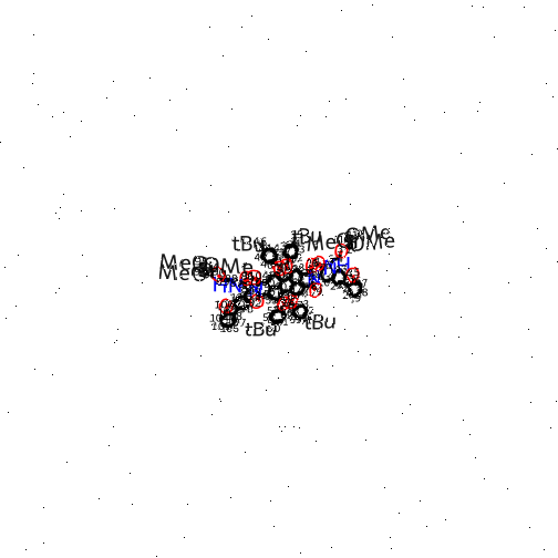 CO[Si](COCCNC(=O)C(Cc1ccc2oc3ccccc3c2c1)N1C(=O)c2cc(Oc3ccc(C(C)(C)C)cc3)c3c4c(Oc5ccc(C(C)(C)C)cc5)cc5c6c(cc(Oc7ccc(C(C)(C)C)cc7)c(c7c(Oc8ccc(C(C)(C)C)cc8)cc(c2c37)C1=O)c64)C(=O)N(C(C(=O)NCCOC[Si](OC)(OC)OC)c1ccc2c(c1)oc1ccccc12)C5=O)(OC)OC